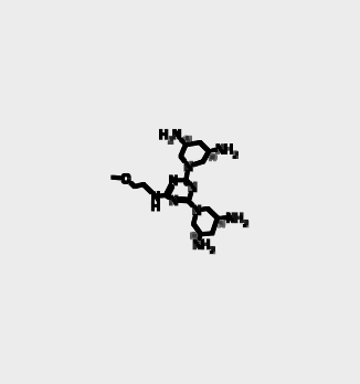 COCCNc1nc(N2C[C@H](N)C[C@H](N)C2)nc(N2C[C@H](N)C[C@H](N)C2)n1